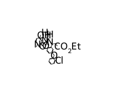 CCOC(=O)C[C@H](NC(=O)Nc1c(O)ccn(C)c1=O)c1cccc(Oc2ccccc2Cl)c1